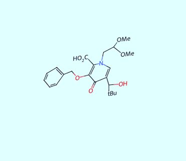 COC(Cn1cc(C(O)C(C)(C)C)c(=O)c(OCc2ccccc2)c1C(=O)O)OC